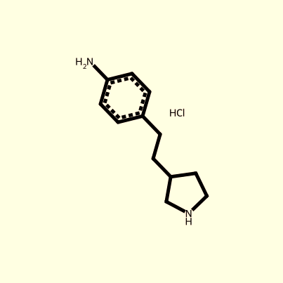 Cl.Nc1ccc(CCC2CCNC2)cc1